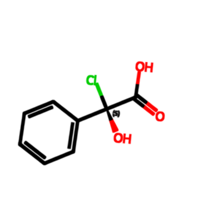 O=C(O)[C@@](O)(Cl)c1ccccc1